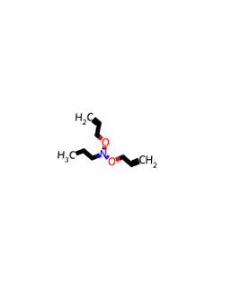 C=CCON(CCC)OCC=C